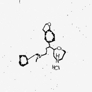 CN(CCC(c1ccc2c(c1)CCO2)C1CNCCO1)Cc1ccccc1.Cl